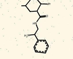 CC1CCC(C(C)C)C(C(=O)NCC(N)c2ccccc2)C1